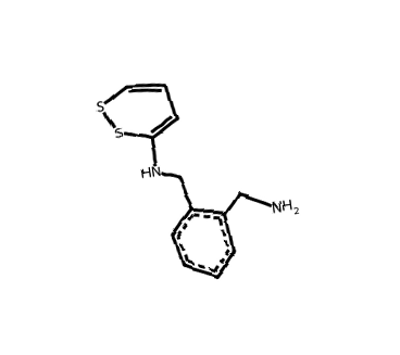 NCc1ccccc1CNC1=CC=CSS1